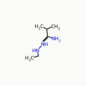 CCNN/C=C(\N)C(C)C